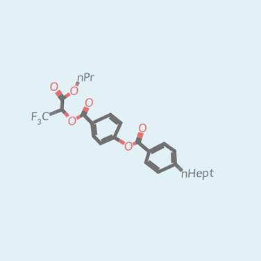 CCCCCCCc1ccc(C(=O)Oc2ccc(C(=O)OC(C(=O)OCCC)C(F)(F)F)cc2)cc1